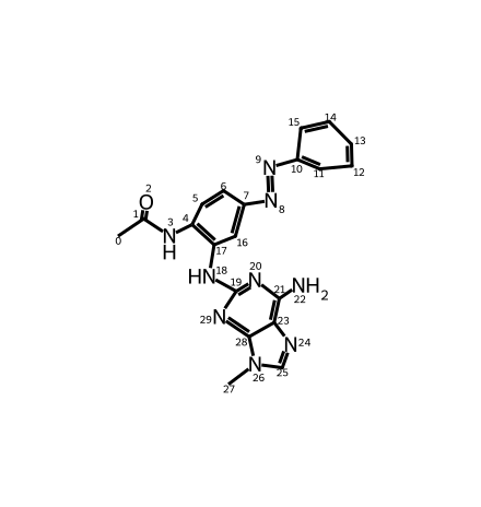 CC(=O)Nc1ccc(/N=N/c2ccccc2)cc1Nc1nc(N)c2ncn(C)c2n1